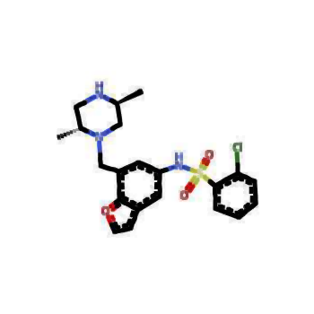 C[C@@H]1CN[C@@H](C)CN1Cc1cc(NS(=O)(=O)c2ccccc2Cl)cc2ccoc12